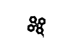 Ic1ccc2c(c1)-c1ccccc1[Si]2(c1ccccc1)c1ccccc1